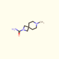 CN1CCC2(CC1)CN(C(N)=O)C2